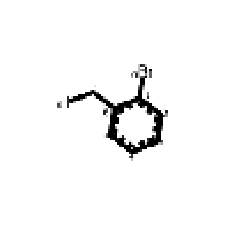 Brc1ccccc1CI